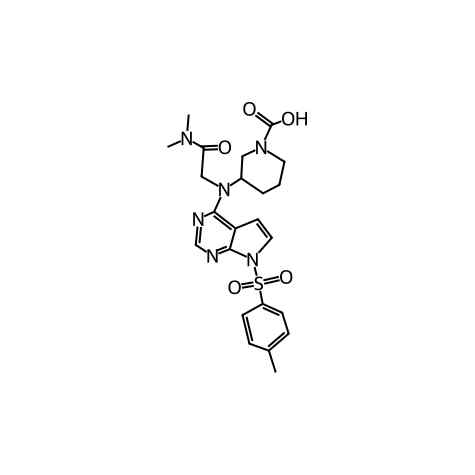 Cc1ccc(S(=O)(=O)n2ccc3c(N(CC(=O)N(C)C)C4CCCN(C(=O)O)C4)ncnc32)cc1